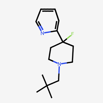 CC(C)(C)CN1CCC(F)(c2ccccn2)CC1